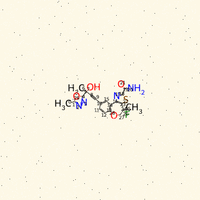 Cc1nnc([C@](C)(O)C#Cc2ccc3c(c2)-c2nc(C(N)=O)sc2C(C)(F)CO3)o1